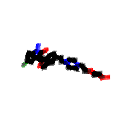 O=C1Nc2ccc(F)cc2C1=C1OCc2cc(CCN3CCN(CCOCCO)CC3)ccc21